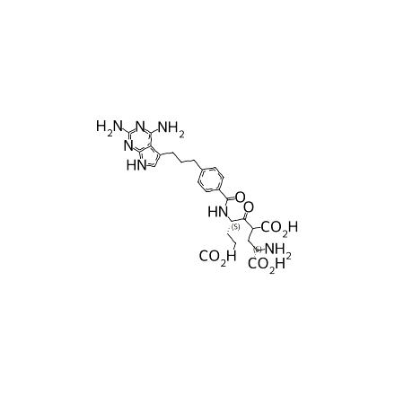 Nc1nc(N)c2c(CCCc3ccc(C(=O)N[C@@H](CCC(=O)O)C(=O)C(C[C@H](N)C(=O)O)C(=O)O)cc3)c[nH]c2n1